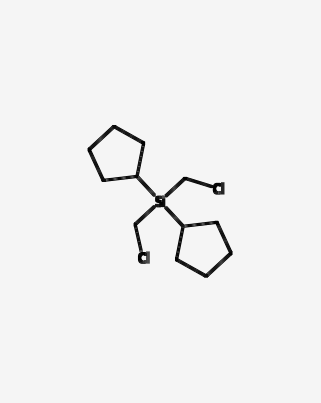 ClC[Si](CCl)(C1CCCC1)C1CCCC1